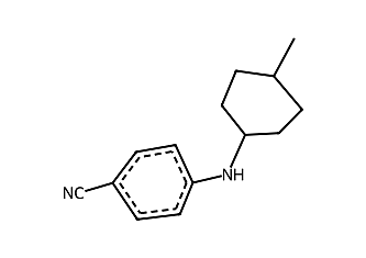 CC1CCC(Nc2ccc(C#N)cc2)CC1